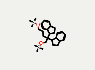 C[Si](C)(C)OCCCC(CO[Si](C)(C)C)(C1CCC2C=CC=CC21)C1CCC2C=CC=CC21